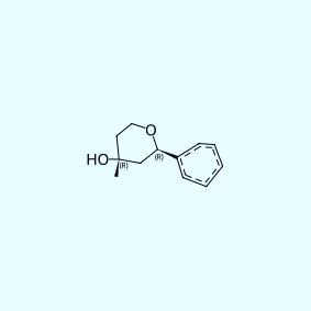 C[C@@]1(O)CCO[C@@H](c2ccccc2)C1